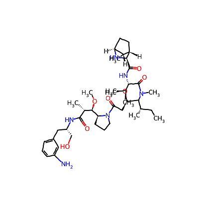 CC[C@H](C)C([C@@H](CC(=O)N1CCC[C@H]1[C@H](OC)[C@@H](C)C(=O)N[C@H](CO)Cc1cccc(N)c1)OC)N(C)C(=O)[C@@H](NC(=O)[C@H]1N[C@H]2CC[C@H]1[C@@H]2C)C(C)C